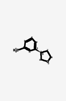 Cc1cccc([C@@H]2CCOC2)c1